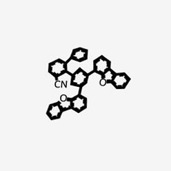 N#Cc1cccc(-c2ccccc2)c1-c1cc(-c2cccc3c2oc2ccccc23)cc(-c2cccc3c2oc2ccccc23)c1